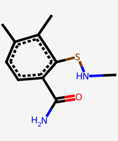 CNSc1c(C(N)=O)ccc(C)c1C